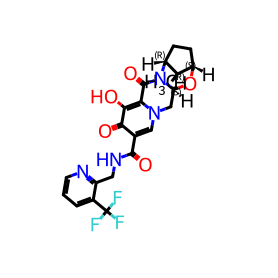 C[C@H]1[C@@H]2CC[C@H]1N1C(=O)c3c(O)c(=O)c(C(=O)NCc4ncccc4C(F)(F)F)cn3C[C@@H]1O2